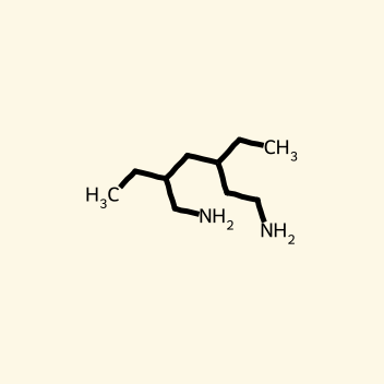 CCC(CN)CC(CC)CCN